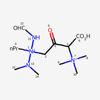 CCC[N+](CC(=O)C(C(=O)O)[N+](C)(C)C)(NC=O)N(C)C